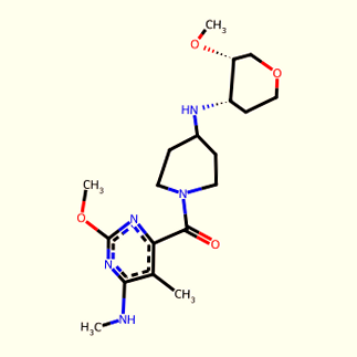 CNc1nc(OC)nc(C(=O)N2CCC(N[C@H]3CCOC[C@H]3OC)CC2)c1C